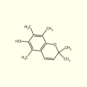 Cc1c(C)c2c(c(C)c1O)C=CC(C)(C)O2